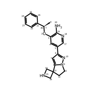 C[C@@H](Oc1cc(-c2cc3n(n2)CCC32CNC2)cnc1N)c1ccccc1